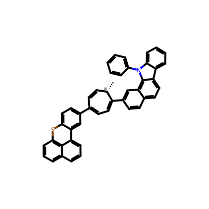 C[C@H]1C=CC(c2ccc3c(c2)-c2cccc4cccc(c24)S3)=CC=C1c1ccc2ccc3c4ccccc4n(-c4ccccc4)c3c2c1